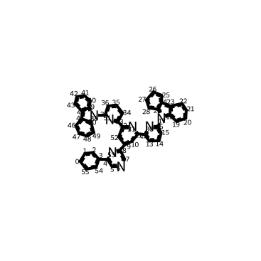 c1ccc(-c2cncc(-c3cc(-c4cccc(-n5c6ccccc6c6ccccc65)n4)nc(-c4cccc(-n5c6ccccc6c6ccccc65)n4)c3)n2)cc1